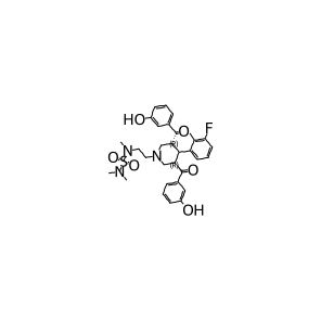 Cc1c(F)cccc1C1[C@@H](C(=O)c2cccc(O)c2)CN(CCN(C)S(=O)(=O)N(C)C)C[C@@H]1C(=O)c1cccc(O)c1